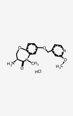 COc1cc(COc2ccc3c(c2)N(C)C(=O)[C@@H](N)CO3)ccn1.Cl